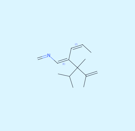 C=N/C=C(\C=C/C)C(C)(C(=C)C)C(C)C